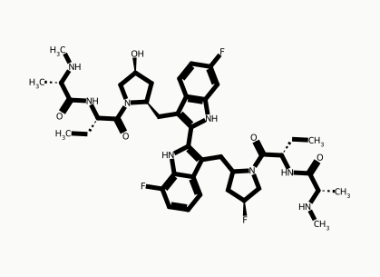 CC[C@H](NC(=O)[C@H](C)NC)C(=O)N1C[C@@H](F)CC1Cc1c(-c2[nH]c3cc(F)ccc3c2C[C@@H]2C[C@H](O)CN2C(=O)[C@H](CC)NC(=O)[C@H](C)NC)[nH]c2c(F)cccc12